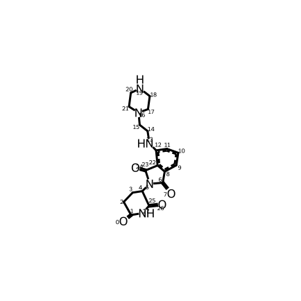 O=C1CCC(N2C(=O)c3cccc(NCCN4CCNCC4)c3C2=O)C(=O)N1